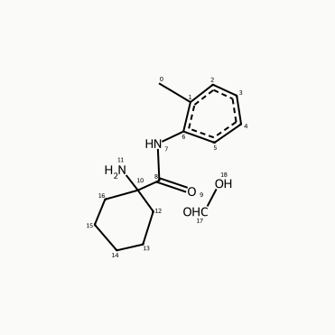 Cc1ccccc1NC(=O)C1(N)CCCCC1.O=CO